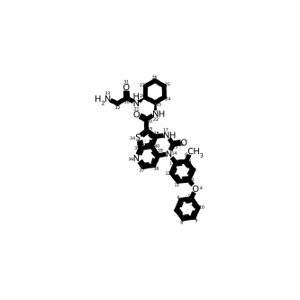 Cc1cc(Oc2ccccc2)ccc1N1C(=O)Nc2c(C(=O)N[C@@H]3CCCC[C@@H]3NC(=O)CN)sc3nccc1c23